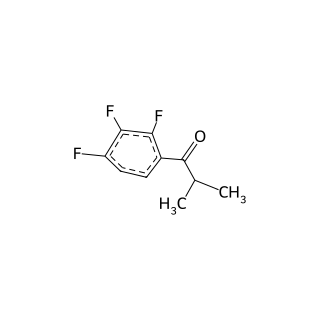 CC(C)C(=O)c1ccc(F)c(F)c1F